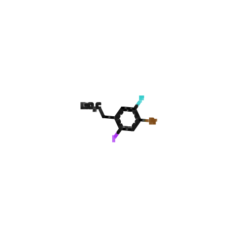 CCOC(=O)Cc1cc(F)c(Br)cc1I